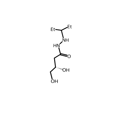 CCC(CC)NNC(=O)C[C@H](O)CO